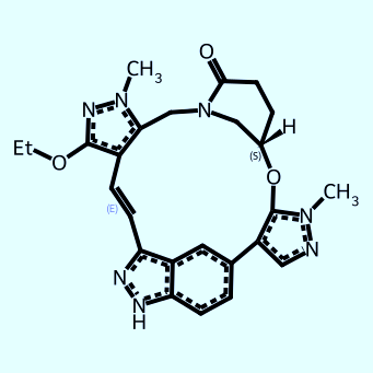 CCOc1nn(C)c2c1/C=C/c1n[nH]c3ccc(cc13)-c1cnn(C)c1O[C@H]1CCC(=O)N(C2)C1